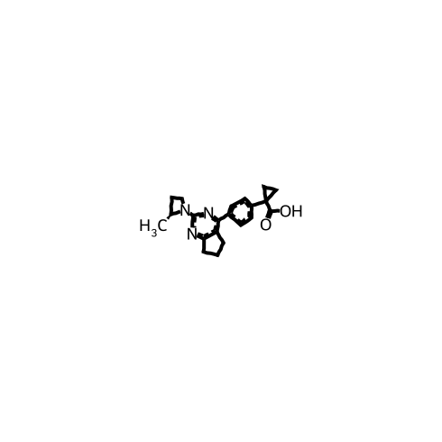 C[C@H]1CCN1c1nc2c(c(-c3ccc(C4(C(=O)O)CC4)cc3)n1)CCC2